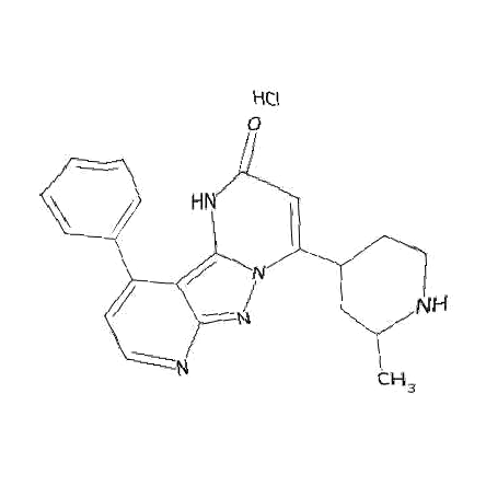 CC1CC(c2cc(=O)[nH]c3c4c(-c5ccccc5)ccnc4nn23)CCN1.Cl